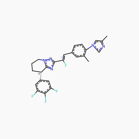 Cc1cn(-c2ccc(/C=C(\F)c3nc4n(n3)CCC[C@H]4c3cc(F)c(F)c(F)c3)cc2C)cn1